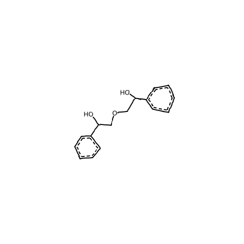 OC(COCC(O)c1ccccc1)c1ccccc1